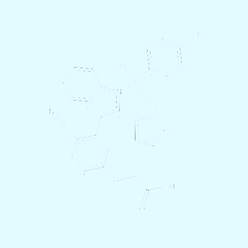 N#Cc1ccc(OCC(=O)O)cc1-c1c(-c2cccs2)n(S(=O)(=O)c2ccc(Cl)cc2)c2ccccc12